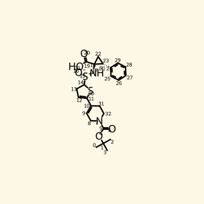 CC(C)(C)OC(=O)N1CC=C(C2=CCC([S+]([O-])NC3(C(=O)O)C[C@@H]3c3ccccc3)S2)CC1